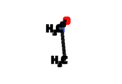 CCCCCCCCCCCCCCCCCCN(C)c1ccc(C=O)cc1